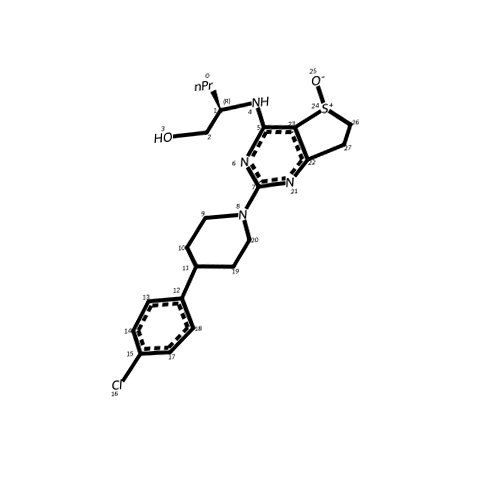 CCC[C@H](CO)Nc1nc(N2CCC(c3ccc(Cl)cc3)CC2)nc2c1[S+]([O-])CC2